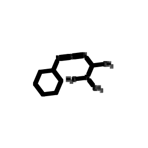 CC(N=C=NC1CCCCC1)N(C)C